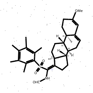 COC1=CC2=CC[C@@H]3[C@H](CC[C@]4(C)/C(=C(/NC=O)S(=O)(=O)c5c(C)c(C)c(C)c(C)c5C)CC[C@@H]34)[C@@]2(C)CC1